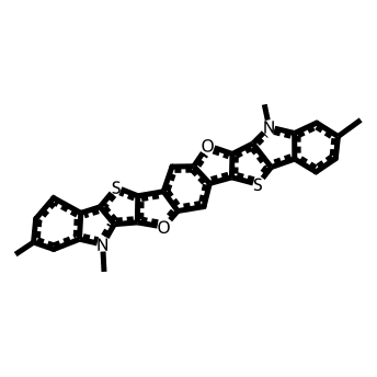 Cc1ccc2c3sc4c5cc6oc7c(sc8c9ccc(C)cc9n(C)c78)c6cc5oc4c3n(C)c2c1